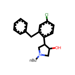 CCCCN1CC(O)C(c2ccc(Cl)cc2Cc2ccccc2)C1